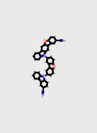 N#Cc1ccc2oc3cc4c5ccccc5n(-c5ccc6oc7ccc(-n8c9ccccc9c9cc(C#N)ccc98)cc7c6c5)c4cc3c2c1